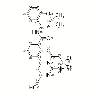 C#CCCC(C1=CC(C(=O)NC2CC(C)(C)Oc3ccccc32)CC=C1)N1C(=N)NC(CC)(CC)CC1=O